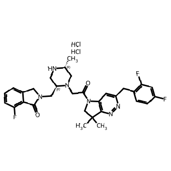 C[C@@H]1CN(CC(=O)N2CC(C)(C)c3nnc(Cc4ccc(F)cc4F)cc32)[C@@H](CN2Cc3cccc(F)c3C2=O)CN1.Cl.Cl